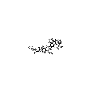 CC(C)OC(=O)N(C)C(C)(C(=O)N1CCCC1)c1ccc2c(c1)nc(C(N)c1ccc(C(=N)NC(=O)OCC(Cl)(Cl)Cl)cc1)n2C